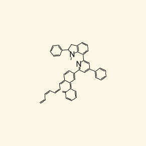 C=C\C=C/C=C\C=c1\ccc(-c2cc(-c3ccccc3)cc(-c3cccc4c3N(C)C(c3ccccc3)C4)n2)c\c1=c1/ccccc1=C